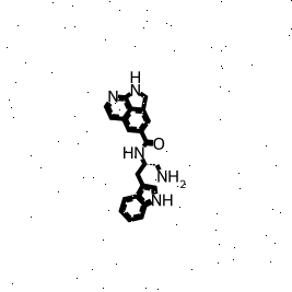 NC[C@H](Cc1c[nH]c2ccccc12)NC(=O)c1cc2c3c(nccc3c1)NC2